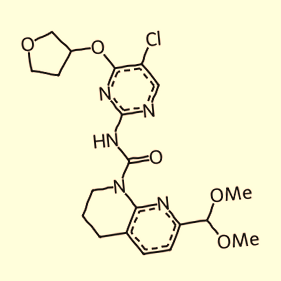 COC(OC)c1ccc2c(n1)N(C(=O)Nc1ncc(Cl)c(OC3CCOC3)n1)CCC2